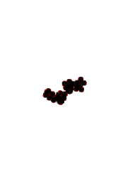 c1ccc(-c2ccc(-c3ccccc3N(c3ccc4c(c3)-n3c5ccccc5c5cccc(c53)C43c4ccccc4-c4cc(-c5cccc6c5c5cccc7c5n6-c5cc(N(c6cccc(-c8ccccc8)c6)c6ccc8c(c6)C6(c9ccccc9-c9ccccc96)c6ccccc6-8)ccc5C75c6ccccc6-c6ccccc65)ccc43)c3ccc4c(c3)C(c3ccccc3)(c3ccccc3)c3ccccc3-4)cc2)cc1